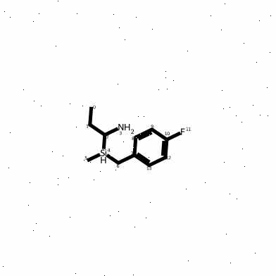 CCC(N)[SiH](C)Cc1ccc(F)cc1